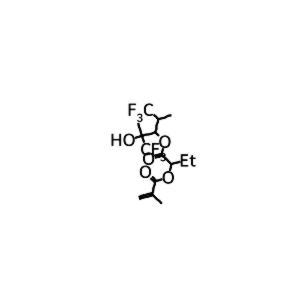 C=C(C)C(=O)OC(CC)C(=O)OC(C(C)C(F)(F)F)C(C)(O)C(F)(F)F